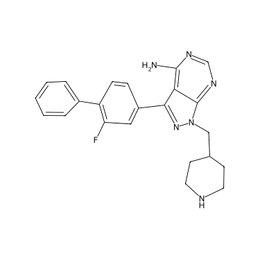 Nc1ncnc2c1c(-c1ccc(-c3ccccc3)c(F)c1)nn2CC1CCNCC1